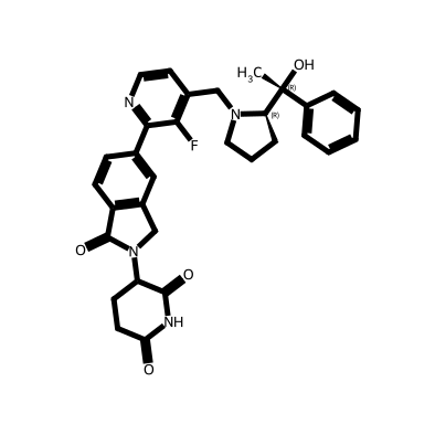 C[C@@](O)(c1ccccc1)[C@H]1CCCN1Cc1ccnc(-c2ccc3c(c2)CN(C2CCC(=O)NC2=O)C3=O)c1F